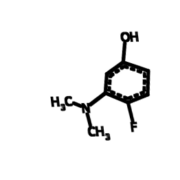 CN(C)c1cc(O)ccc1F